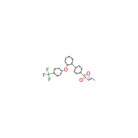 C/C=C/S(=O)(=O)c1ccc(-c2ccccc2Oc2ccc(C(F)(F)F)cc2)cc1